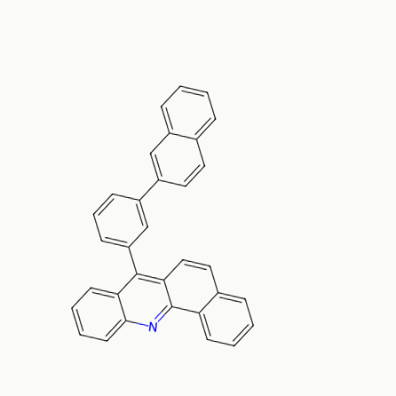 c1cc(-c2ccc3ccccc3c2)cc(-c2c3ccccc3nc3c2ccc2ccccc23)c1